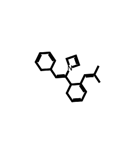 CC(C)=CC1=CC=CCC1/C(=C/C1C=CC=CC1)N1C=CC1